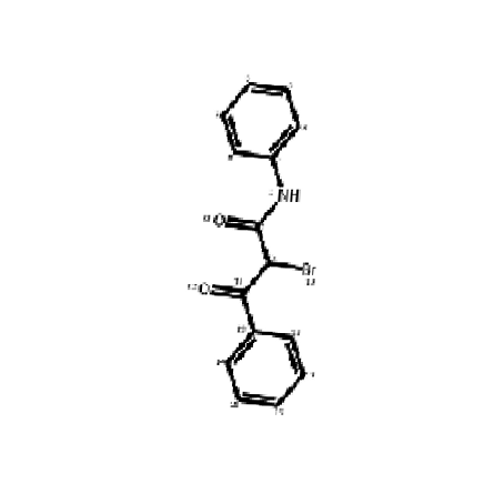 O=C(Nc1ccccc1)C(Br)C(=O)c1ccccc1